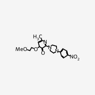 COCCOC1C=C(C)N=C(N2CCN(c3ccc([N+](=O)[O-])cc3)CC2)C1=O